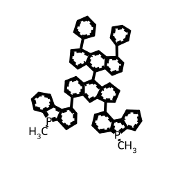 Cp1c2ccccc2c2c(-c3cccc4c(-c5c6cccc(-c7ccccc7)c6cc6c(-c7ccccc7)cccc56)c5cccc(-c6cccc7c6c6ccccc6p7C)c5cc34)cccc21